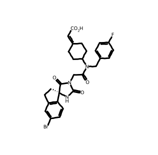 O=C(O)C=C1CCC(N(Cc2ccc(F)cc2)C(=O)CN2C(=O)N[C@]3(CCc4cc(Br)ccc43)C2=O)CC1